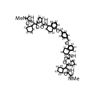 CNC(C)C(=O)NC(C(=O)N1CCC[C@H]1C(=O)N[C@@H]1CCCc2c(OCc3ccc(COc4cccc5c4CCC[C@H]5NC(=O)[C@@H]4CCCN4C(=O)C(NC(=O)C(C)NC)C4CCCCC4)cc3)cccc21)C1CCCCC1